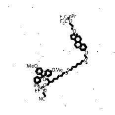 CCCC(OCCCOC1CCC2C3CCc4cc(OCCN(C)CCCCCCSSCCCCCCC(COP(OCCC#N)N(CC)C(C)C)COC(c5ccccc5)(c5ccc(OC)cc5)c5ccc(OC)cc5)ccc4C3CCC12C)(C(F)(F)F)C(F)(F)F